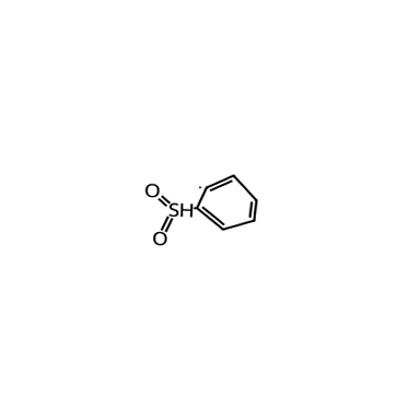 O=[SH](=O)c1[c]cccc1